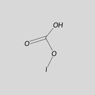 O=C(O)OI